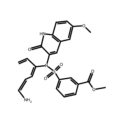 C=C/C(=C\C=C/N)N(c1cc2cc(OC)ccc2[nH]c1=O)S(=O)(=O)c1cccc(C(=O)OC)c1